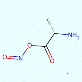 C[C@H](N)C(=O)ON=O